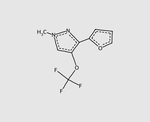 Cn1cc(OC(F)(F)F)c(-c2ccco2)n1